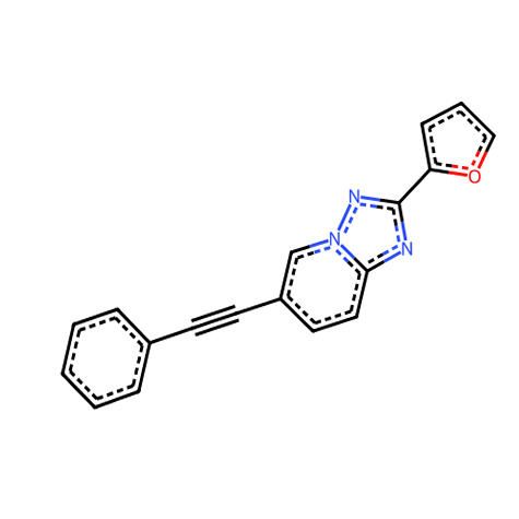 C(#Cc1ccc2nc(-c3ccco3)nn2c1)c1ccccc1